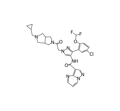 O=C(Nc1cn(CC(=O)N2CC3CN(CC4CC4)CC3C2)nc1-c1cc(Cl)ccc1OC(F)F)c1cnn2cccnc12